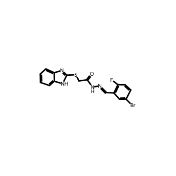 O=C(CSc1nc2ccccc2[nH]1)N/N=C/c1cc(Br)ccc1F